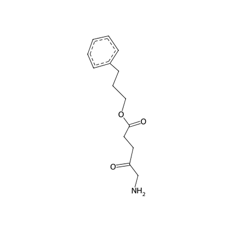 NCC(=O)CCC(=O)OCCCc1ccccc1